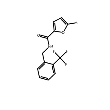 O=C(NCc1ccccc1C(F)(F)F)c1ccc(I)o1